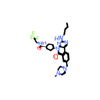 CCCCNc1ncc2c3ccc(CN4CCN(C)CC4)cc3c(=O)n([C@H]3CC[C@H](C(=O)NCC(F)(F)F)CC3)c2n1